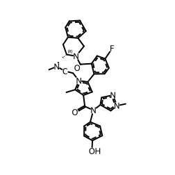 Cc1c(C(=O)N(c2ccc(O)cc2)c2cnn(C)c2)cc(-c2ccc(F)cc2C(=O)N2Cc3ccccc3C[C@H]2C)n1CCN(C)C